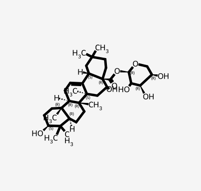 CC1(C)CC[C@]2(C(=O)O[C@H]3OC[C@@H](O)[C@@H](O)C3O)C(O)C[C@]3(C)C(=CC[C@@H]4[C@@]5(C)CC[C@H](O)C(C)(C)[C@@H]5CC[C@]43C)[C@@H]2C1